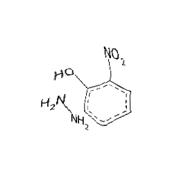 NN.O=[N+]([O-])c1ccccc1O